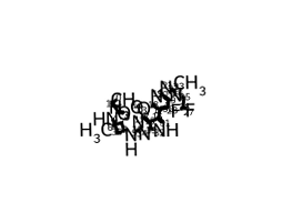 CCC(=O)NC1(C)CC(Nc2nc(OC)c3c(-c4cnc5nc(C)n(CC(F)F)c5c4)c[nH]c3n2)C1